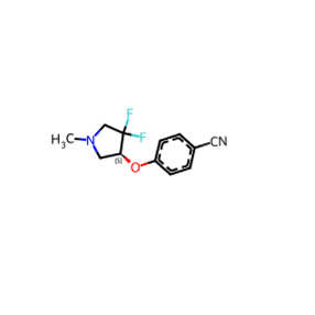 CN1C[C@H](Oc2ccc(C#N)cc2)C(F)(F)C1